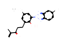 C=C(C)C(=O)CCc1cc(OC)cc(-n2nc3ccc(C(F)(F)F)cc3n2)c1O